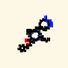 C1CCCCNNNNCCC1.O=C(O)CN1CCN(CC(=O)O)CCN(CC(O)COCc2ccccc2)CCN(CC(=O)O)CC1